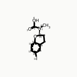 CN(C(=O)O)[C@H]1CCc2cc(I)ccc2O1